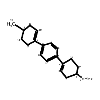 CCCCCCC1CC=C(c2ccc(C3=CCC(C)CC3)cc2)CC1